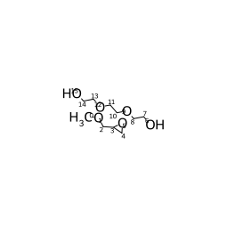 COCC1CO1.OCCOCCOCCO